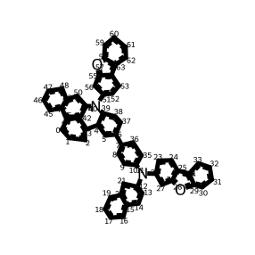 c1ccc(-c2cc(-c3ccc(N(c4ccc5ccccc5c4)c4ccc5c(c4)oc4ccccc45)cc3)ccc2N(c2ccc3ccccc3c2)c2ccc3c(c2)oc2ccccc23)cc1